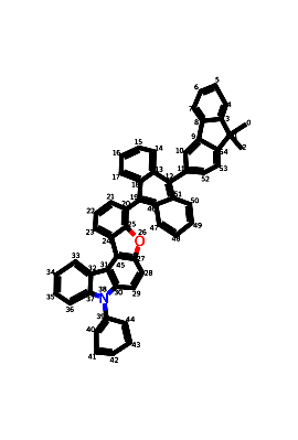 CC1(C)c2ccccc2-c2cc(-c3c4ccccc4c(-c4cccc5c4oc4ccc6c(c7ccccc7n6-c6ccccc6)c45)c4ccccc34)ccc21